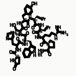 CCNC(=O)C1CCCN1C(=O)C(CCCNC(=N)N)NC(=O)[C@H](CC(C)C)NC(=O)[C@@H](CC(C)C)NC(=O)[C@H](Cc1ccc(O)cc1)NC(=O)C(CO)NC(=O)[C@H](Cc1c[nH]c2ccccc12)NC(=O)C(Cc1c[nH]cn1)NC(=O)[C@@H]1CCC(=O)N1